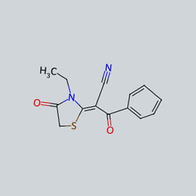 CCN1C(=O)CS/C1=C(/C#N)C(=O)c1ccccc1